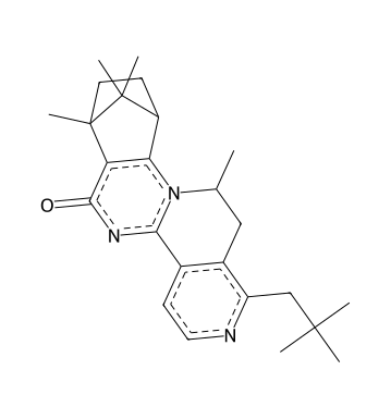 CC1Cc2c(ccnc2CC(C)(C)C)-c2nc(=O)c3c(n21)C1CCC3(C)C1(C)C